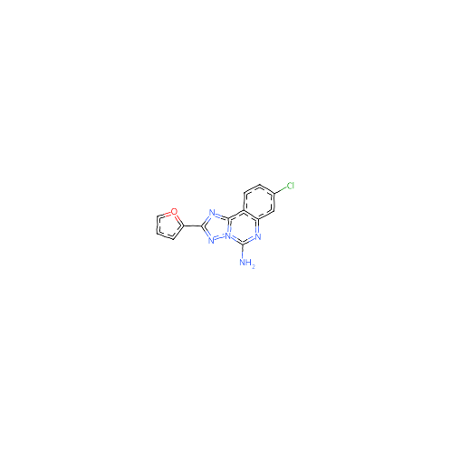 Nc1nc2cc(Cl)ccc2c2nc(-c3ccco3)nn12